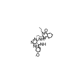 CCCn1c(C(CC)Nc2ncnc(N)c2C(=N)c2ccc(OC)cc2)nc2ccccc2c1=O